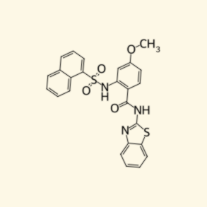 COc1ccc(C(=O)Nc2nc3ccccc3s2)c(NS(=O)(=O)c2cccc3ccccc23)c1